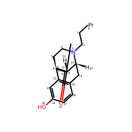 CC(C)CCN1CC[C@]23CCC(=O)C[C@H]2[C@H]1Cc1ccc(O)cc13